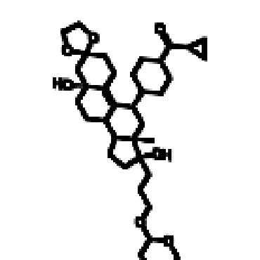 C[C@]12C[C@H](C3CCC(C(=O)C4CC4)CC3)C3=C4CCC5(C[C@]4(O)CCC3C1CC[C@@]2(O)CCCOC1CCCCO1)OCCO5